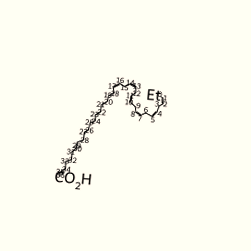 CC/C=C\C/C=C\C/C=C\C/C=C\C/C=C\C/C=C\CCCCCCCCCCCCCCCCCCC(=O)O